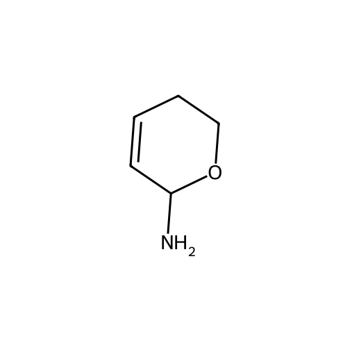 NC1C=CCCO1